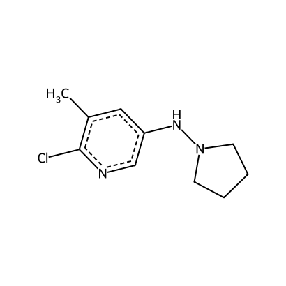 Cc1cc(NN2CCCC2)cnc1Cl